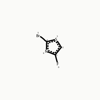 Fc1csc(Br)n1